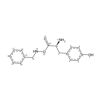 N[C@@H](Cc1ccc(O)cc1)C(=O)ONCc1ccccc1